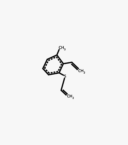 C=CSc1cccc(C)c1C=C